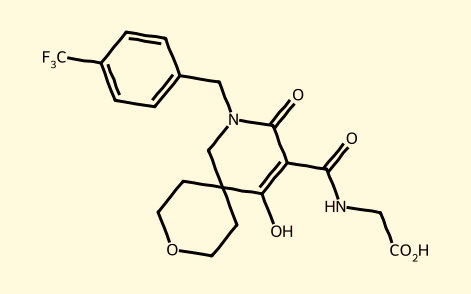 O=C(O)CNC(=O)C1=C(O)C2(CCOCC2)CN(Cc2ccc(C(F)(F)F)cc2)C1=O